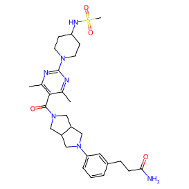 Cc1nc(N2CCC(NS(C)(=O)=O)CC2)nc(C)c1C(=O)N1CC2CN(c3cccc(CCC(N)=O)c3)CC2C1